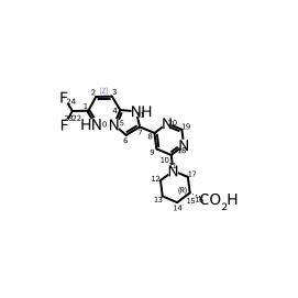 N=C(/C=C\c1ncc(-c2cc(N3CCC[C@@H](C(=O)O)C3)ncn2)[nH]1)C(F)F